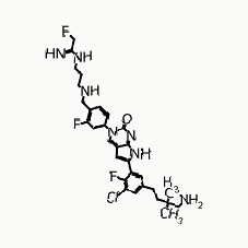 CC(C)(CN)CCc1cc(Cl)c(F)c(-c2cc3cn(-c4ccc(CNCCCNC(=N)CF)c(F)c4)c(=O)nc3[nH]2)c1